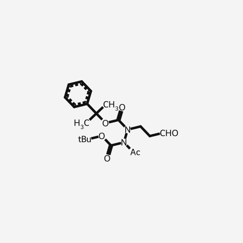 CC(=O)N(C(=O)OC(C)(C)C)N(CCC=O)C(=O)OC(C)(C)c1ccccc1